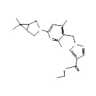 CCOC(=O)c1cnn(Cc2c(C)cc(N3CC4C(C3)C4(F)F)nc2C)c1